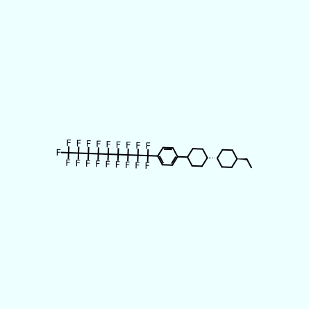 CC[C@H]1CC[C@H](C2CCC(c3ccc(C(F)(F)C(F)(F)C(F)(F)C(F)(F)C(F)(F)C(F)(F)C(F)(F)C(F)(F)C(F)(F)F)cc3)CC2)CC1